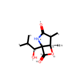 CC1C(=O)NC2([C@@H](O)C(C)C)C(=O)O[C@H]12